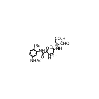 CC(=O)Nc1ccc(C(C)(C)C)c(NC(=O)C(=O)N[C@@H](C)C(=O)N[C@H](C=O)CC(=O)O)c1